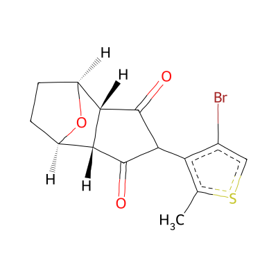 Cc1scc(Br)c1C1C(=O)[C@@H]2[C@H](C1=O)[C@H]1CC[C@@H]2O1